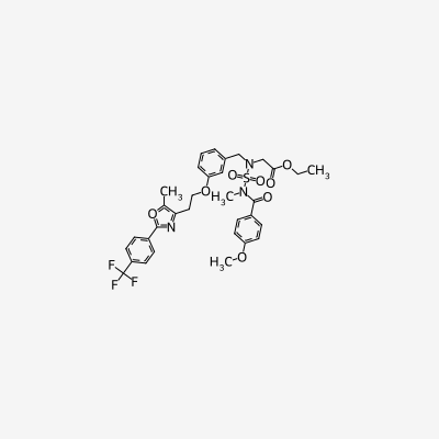 CCOC(=O)CN(Cc1cccc(OCCc2nc(-c3ccc(C(F)(F)F)cc3)oc2C)c1)S(=O)(=O)N(C)C(=O)c1ccc(OC)cc1